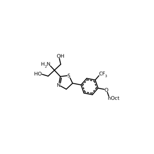 CCCCCCCCOc1ccc(C2CN=C(C(N)(CO)CO)S2)cc1C(F)(F)F